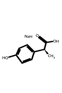 C[C@H](C(=O)O)c1ccc(O)cc1.[NaH]